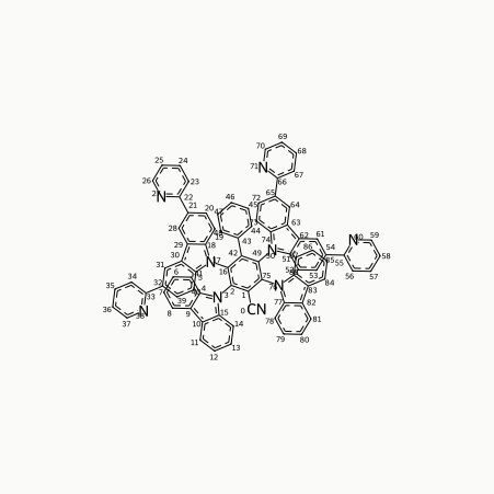 N#Cc1c(-n2c3ccccc3c3ccccc32)c(-n2c3ccc(-c4ccccn4)cc3c3cc(-c4ccccn4)ccc32)c(-c2ccccc2)c(-n2c3ccc(-c4ccccn4)cc3c3cc(-c4ccccn4)ccc32)c1-n1c2ccccc2c2ccccc21